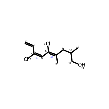 C=C/C(Cl)=C\C(Cl)=C(/C)CC(C)CO